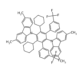 Cc1ccc2c(c1)c1cc(C)ccc1n2-c1c(-c2cccc(C(F)(F)F)c2)c(C2CCCCC2)c(-n2c3ccc(C)cc3c3cc(C)ccc32)c(C2CCCCC2)c1-c1cccc(C(F)(F)F)c1